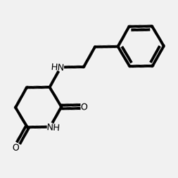 O=C1CCC(NCCc2ccccc2)C(=O)N1